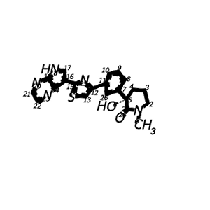 CN1CCC[C@](O)(c2cccc(-c3csc(-c4c[nH]c5nccnc45)n3)c2)C1=O